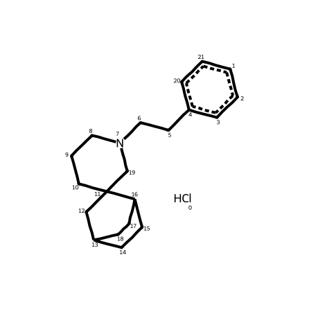 Cl.c1ccc(CCN2CCCC3(CC4CCC3CC4)C2)cc1